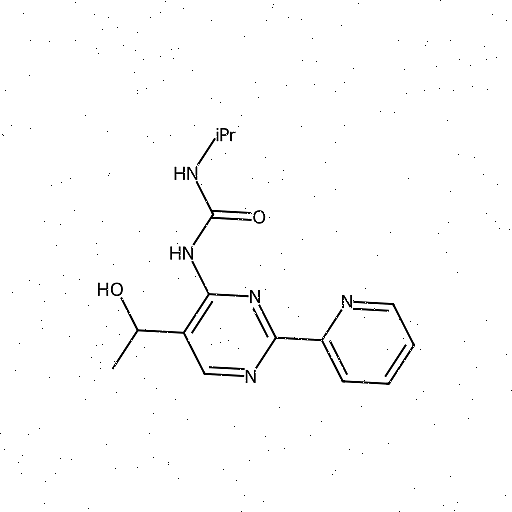 CC(C)NC(=O)Nc1nc(-c2ccccn2)ncc1C(C)O